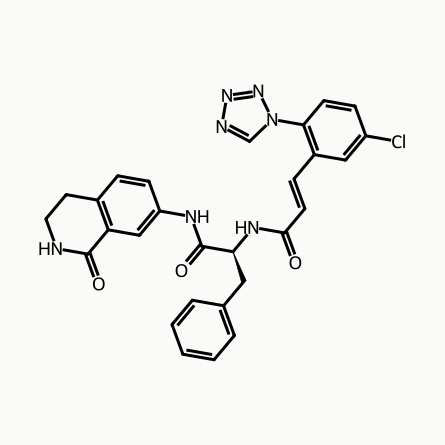 O=C(/C=C/c1cc(Cl)ccc1-n1cnnn1)N[C@@H](Cc1ccccc1)C(=O)Nc1ccc2c(c1)C(=O)NCC2